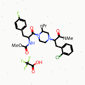 CCCC1CN(C(Cc2ccccc2Cl)C(=O)NC)CCN1C(=O)C(Cc1ccc(F)cc1)NC(=O)OC.O=C(O)C(F)(F)F